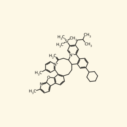 C=C1CC2C(CCc3ccc4c(oc5nc(C)ccc54)c3-c3cc(C)cc[n+]31)c1cc(C3CCCCC3)ccc1-c1cc(CC(C)C)c([Si](C)(C)C)c[n+]12